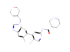 O=C(Nc1cc(-c2cc3c(cc2Cl)ncn3CC2CCOCC2)c(Cl)cn1)[C@@H]1CCCNC1